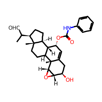 CC(C=O)[C@H]1CC[C@H]2[C@@H]3[C@H](OC(=O)Nc4ccccc4)C=C4C[C@@H](O)[C@@H]5O[C@@H]5[C@]4(C)[C@H]3CC[C@]12C